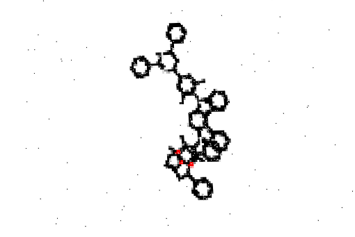 Cc1cc(/C2=C\CC3(C)CC(c4ccccc4)N(C3)C(c3ccccc3)C2)cc(C)c1-n1c2ccccc2c2c3c4ccccc4n(-c4c(C)cc(C5CC(c6ccccc6)NC(c6ccccc6)=N5)cc4C)c3ccc21